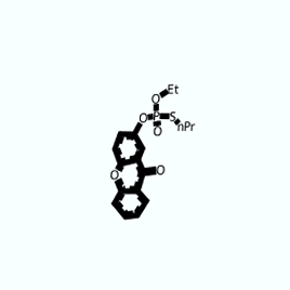 CCCSP(=O)(OCC)Oc1ccc2oc3ccccc3c(=O)c2c1